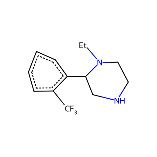 CCN1CCNCC1c1ccccc1C(F)(F)F